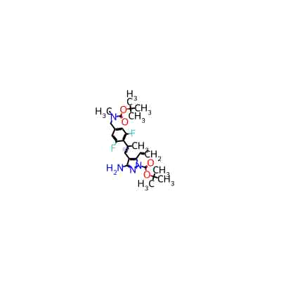 C=Cc1c(/C=C(\C)c2c(F)cc(CN(C)C(=O)OC(C)(C)C)cc2F)c(N)nn1C(=O)OC(C)(C)C